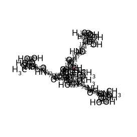 CCOC(C)(C)CCOC(C)(C)CC1(COP(=O)(O)OCC2(COP(=O)(O)OCC3(CO)CCN(C(=O)CCCCCNC(=O)CCCCO[C@@H]4O[C@H](CO)[C@H](O)[C@H](O)[C@H]4NC(C)=O)CC3)CCN(C(=O)CCCCCNC(=O)CCCCO[C@@H]3O[C@H](CO)[C@H](O)[C@H](O)[C@H]3NC(C)=O)CC2)CCN(C(=O)CCCCCNC(=O)CCCCO[C@@H]2O[C@H](CO)[C@H](O)[C@H](O)[C@H]2NC(C)=O)CC1